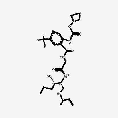 CCC[C@H](O)[C@H](CNC(C)CC)NC(=O)CNC(=O)c1cc(C(F)(F)F)ccc1NC(=O)ON1CCC1